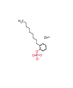 CCCCCCCCCc1ccccc1OP(=O)([O-])[O-].[Zn+2]